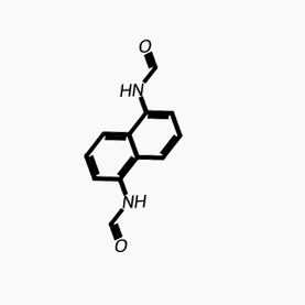 O=CNc1cccc2c(NC=O)cccc12